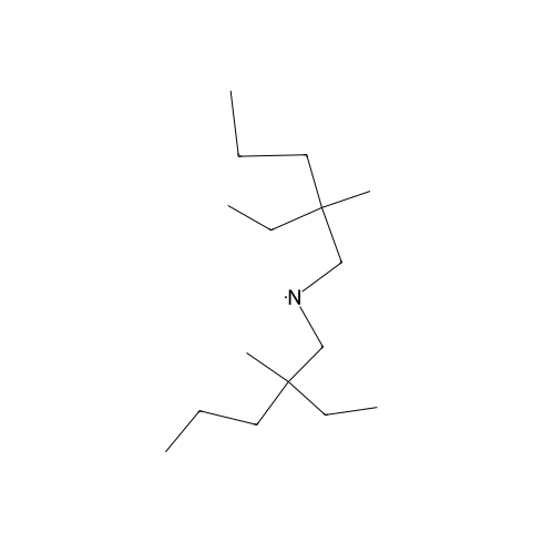 CCCC(C)(CC)C[N]CC(C)(CC)CCC